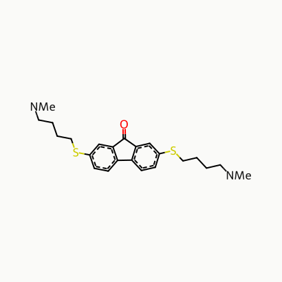 CNCCCCSc1ccc2c(c1)C(=O)c1cc(SCCCCNC)ccc1-2